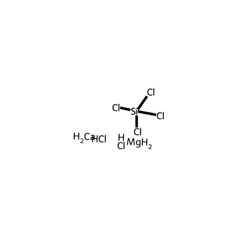 Cl.Cl.Cl[Si](Cl)(Cl)Cl.[CaH2].[MgH2]